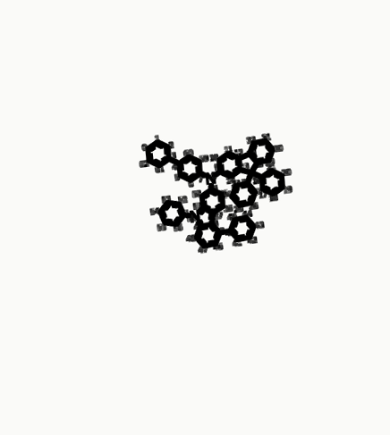 c1ccc(-c2ccc(N(c3ccc4c(c3)C(c3ccccc3)(c3ccccc3)c3ccccc3-4)c3ccc4c5c(-c6ccccc6)cccc5n(-c5ccccc5)c4c3)cc2)cc1